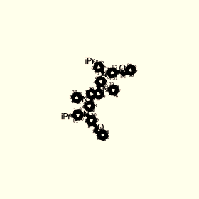 CC(C)c1ccc(N(c2ccc(-c3cc4ccccc4o3)cc2)c2ccc3c4c5ccc6c(c5ccc4n(-c4ccccc4)c3c2)c2ccc(N(c3ccc(-c4cc5ccccc5o4)cc3)c3ccc(C(C)C)cc3)cc2n6-c2ccccc2)cc1